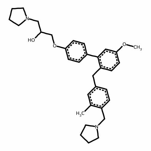 COc1ccc(Cc2ccc(CN3CCCC3)c(C)c2)c(-c2ccc(OCC(O)CN3CCCC3)cc2)c1